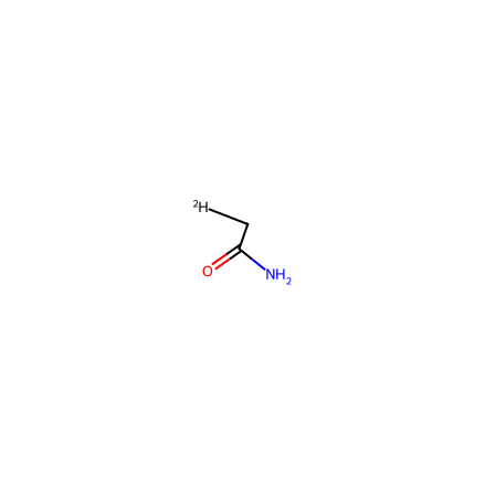 [2H]CC(N)=O